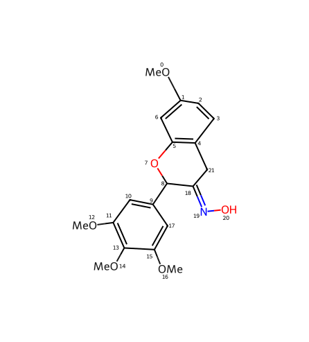 COc1ccc2c(c1)OC(c1cc(OC)c(OC)c(OC)c1)C(=NO)C2